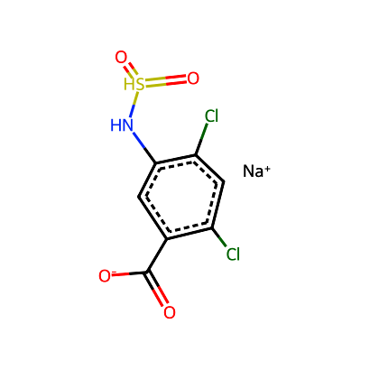 O=C([O-])c1cc(N[SH](=O)=O)c(Cl)cc1Cl.[Na+]